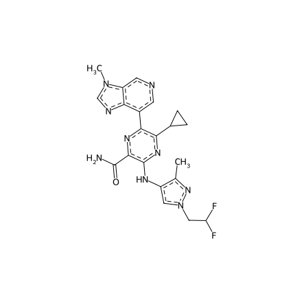 Cc1nn(CC(F)F)cc1Nc1nc(C2CC2)c(-c2cncc3c2ncn3C)nc1C(N)=O